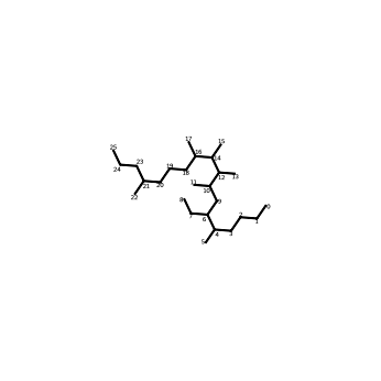 CCCCC(C)C(CC)CC(C)C(C)C(C)C(C)CCCC(C)CCC